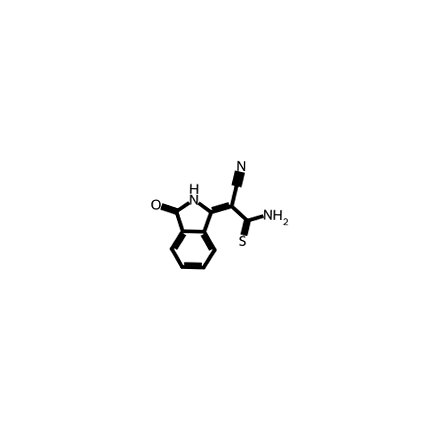 N#CC(C(N)=S)=C1NC(=O)c2ccccc21